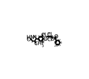 CC1CC(=O)NN=C1c1cc(F)c(OCC(Cl)(Cl)COC(=O)c2ccccc2)c(Cl)c1